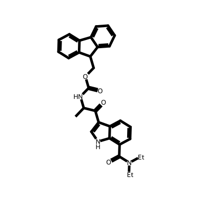 CCN(CC)C(=O)c1cccc2c(C(=O)C(C)NC(=O)OCC3c4ccccc4-c4ccccc43)c[nH]c12